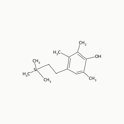 Cc1cc(CC[Si](C)(C)C)c(C)c(C)c1O